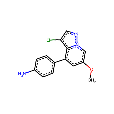 BOc1cc(-c2ccc(N)cc2)c2c(Cl)cnn2c1